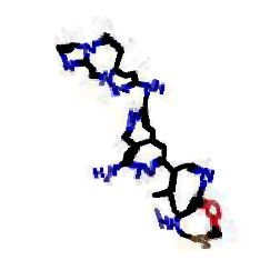 Cc1c(-c2cc3cc(Nc4cc5n(n4)Cc4nccn4CC5)ncc3c(N)n2)cnc2c1NCSCO2